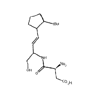 CC(C)(C)C1CCCC1C=CC(CO)NC(=O)[C@@H](N)CC(=O)O